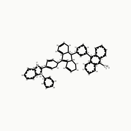 Cc1c2ccccc2c(-c2cccc(C3C4CC=CC=C4C(C4C=CC(c5nc6ccccc6n5-c5ccccc5)=CC4)=C4C=CCCC43)c2)c2ccccc12